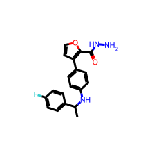 CC(Nc1ccc(-c2ccoc2C(=O)NN)cc1)c1ccc(F)cc1